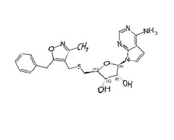 Cc1noc(Cc2ccccc2)c1CSC[C@H]1O[C@@H](n2ccc3c(N)ncnc32)[C@H](O)[C@@H]1O